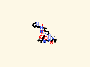 CCC(C)C(C(CC(=O)N1CCCC1C(OC)C(C)C(=O)NCCc1ccccn1)OC)N(C)C(=O)CNC(=O)C(C(C)C)N(C)C